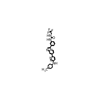 CN1CCC(Nc2ccc(-c3ccn4c(-c5cccc(NC(=O)NCC(F)(F)F)c5)cnc4c3)nn2)CC1